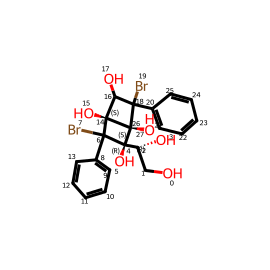 OC[C@@H](O)[C@]1(O)C(Br)(c2ccccc2)[C@]2(O)C(O)C(Br)(c3ccccc3)[C@@]21O